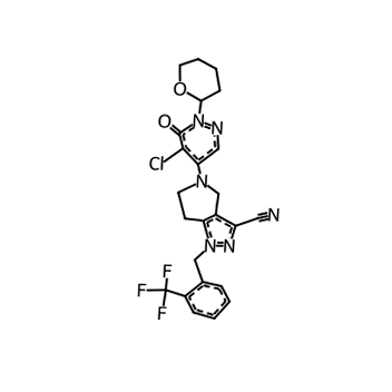 N#Cc1nn(Cc2ccccc2C(F)(F)F)c2c1CN(c1cnn(C3CCCCO3)c(=O)c1Cl)CC2